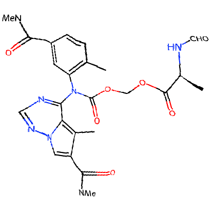 CNC(=O)c1ccc(C)c(N(C(=O)OCOC(=O)[C@H](C)NC=O)c2ncnn3cc(C(=O)NC)c(C)c23)c1